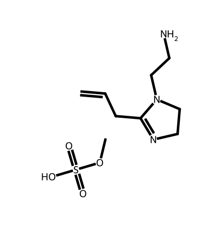 C=CCC1=NCCN1CCN.COS(=O)(=O)O